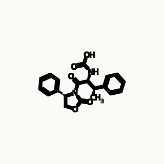 C[C@H](c1ccccc1)[C@H](NC(=O)O)C(=O)N1C(=O)OC[C@@H]1c1ccccc1